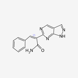 NC(=O)/C(=C\c1ccccc1)c1ncc2cn[nH]c2n1